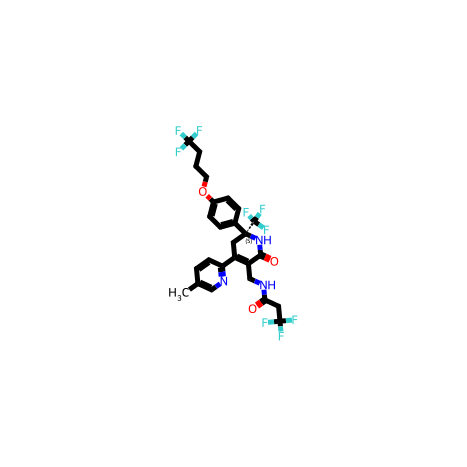 Cc1ccc(C2=C(CNC(=O)CC(F)(F)F)C(=O)N[C@@](c3ccc(OCCCC(F)(F)F)cc3)(C(F)(F)F)C2)nc1